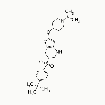 CC(C)N1CCC(Oc2cc3c(s2)CC(S(=O)(=O)c2ccc(C(C)(C)C)cc2)CN3)CC1